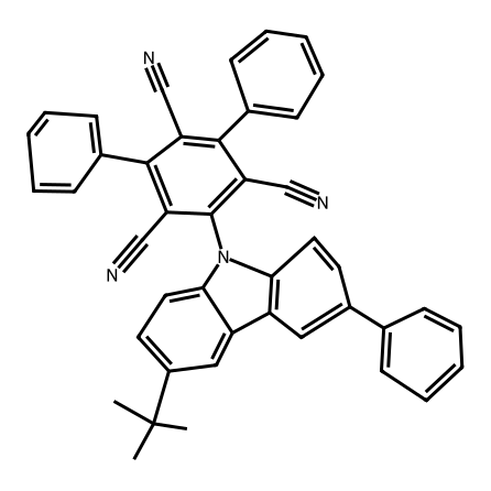 CC(C)(C)c1ccc2c(c1)c1cc(-c3ccccc3)ccc1n2-c1c(C#N)c(-c2ccccc2)c(C#N)c(-c2ccccc2)c1C#N